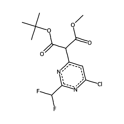 COC(=O)C(C(=O)OC(C)(C)C)c1cc(Cl)nc(C(F)F)n1